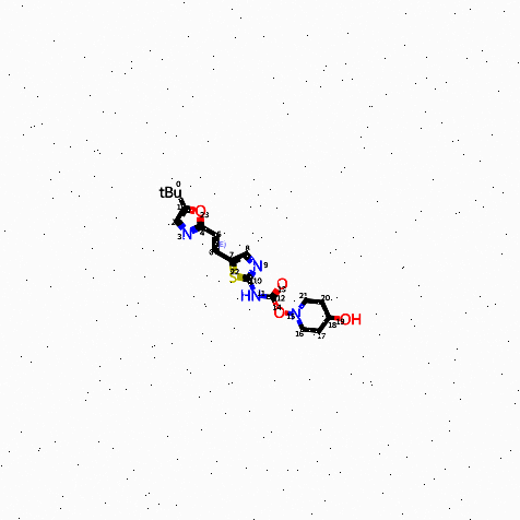 CC(C)(C)c1cnc(/C=C/c2cnc(NC(=O)ON3CCC(O)CC3)s2)o1